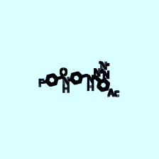 CC(=O)c1ccc2c(NCc3ccc(NC(=O)c4ccc(F)cc4)cc3)nc(N(C)C)nc2c1